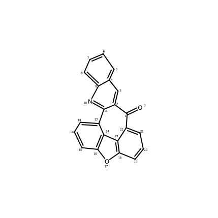 O=c1c2cc3ccccc3nc2c2cccc3oc4cccc1c4c32